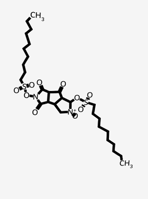 CCCCCCCCCCS(=O)(=O)OC1C2C(=O)C3C(=O)N(OS(=O)(=O)CCCCCCCCCC)C(=O)C3C2C[N+]1=O